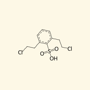 O=S(=O)(O)c1c(CCCl)cccc1CCCl